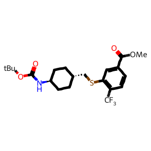 COC(=O)c1ccc(C(F)(F)F)c(SC[C@H]2CC[C@H](NC(=O)OC(C)(C)C)CC2)c1